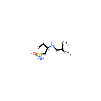 CC(C)CN[C@@H]1CC[S@](=N)(=O)C1